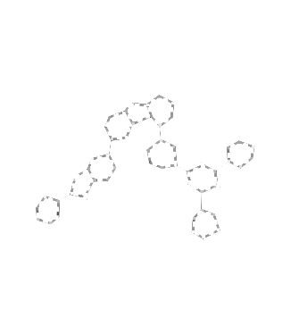 c1ccc(-c2nc(-c3ccccc3)nc(-c3cccc(-c4cccc5oc6ccc(-c7ccc8nc(-c9ccccc9)oc8c7)cc6c45)c3)n2)cc1